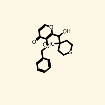 O=CC1(C(O)c2occc(=O)c2OCc2ccccc2)CCSCC1